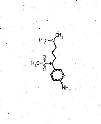 CN(C)CCCN(c1ccc(N)cc1)S(C)(=O)=O